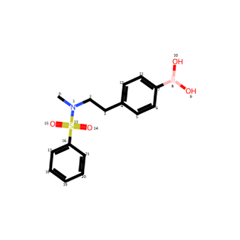 CN(CCc1ccc(B(O)O)cc1)S(=O)(=O)c1ccccc1